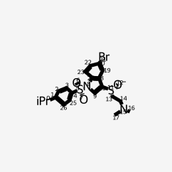 CC(C)c1ccc(S(=O)(=O)n2cc([S+]([O-])CCN(C)C)c3cc(Br)ccc32)cc1